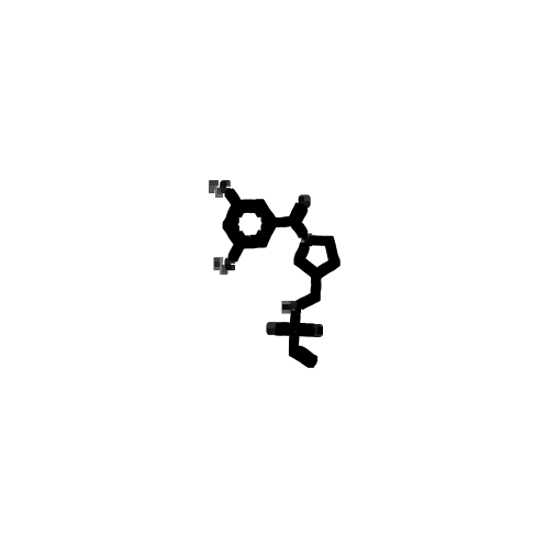 C=CS(=O)(=O)NCC1CCN(C(=O)c2cc(C(F)(F)F)cc(C(F)(F)F)c2)C1